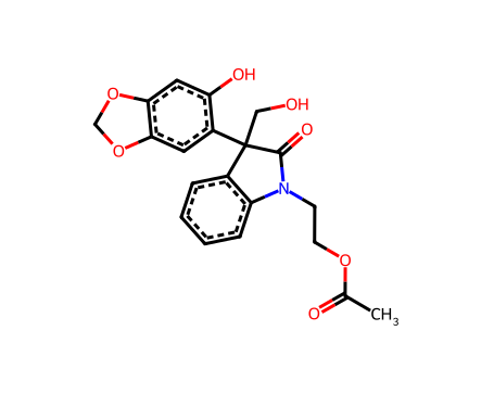 CC(=O)OCCN1C(=O)C(CO)(c2cc3c(cc2O)OCO3)c2ccccc21